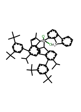 CC1=Cc2c(ccc(C(C)C)c2-c2cc(C(C)(C)C)cc(C(C)(C)C)c2)[CH]1[Zr]([Cl])([Cl])([c]1cccc2c1[SiH2]c1ccccc1-2)[CH]1C(C)=Cc2c1ccc(C(C)C)c2-c1cc(C(C)(C)C)cc(C(C)(C)C)c1